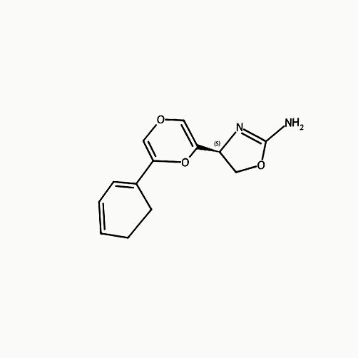 NC1=N[C@H](C2=COC=C(C3=CC=CCC3)O2)CO1